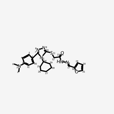 CN(C)c1ccc(-c2nnc(SCC(=O)NN=Cc3ccco3)n2C2CCCCC2)cc1